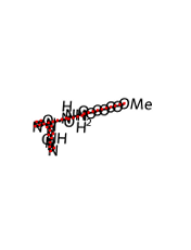 COCCOCCOCCOCCOCCOCCC(=O)NCCCC[C@H](N)C(=O)NCCCCCCn1nc(-c2ccc(NC(=O)N3Cc4ccncc4C3)cc2)cc(-c2ccc3cccnc3c2)c1=O